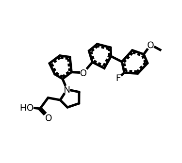 COc1ccc(F)c(-c2cccc(Oc3ccccc3N3CCCC3CC(=O)O)c2)c1